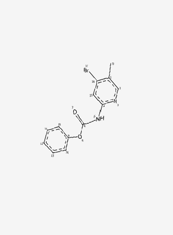 Cc1cnc(NC(=O)Oc2ccccc2)cc1Br